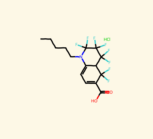 CCCCCN1C2=CC=C(C(=O)O)C(F)(F)C2C(F)(F)C(F)(F)C1(F)F.Cl